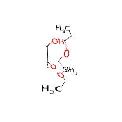 CCCOC[SiH2]OCC.OCC1CO1